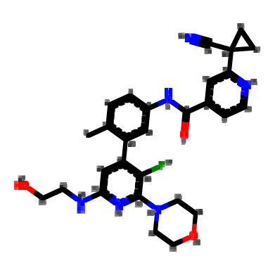 Cc1ccc(NC(=O)c2ccnc(C3(C#N)CC3)c2)cc1-c1cc(NCCO)nc(N2CCOCC2)c1F